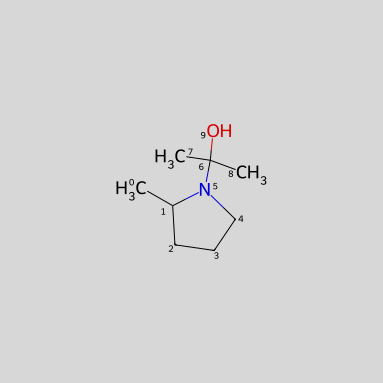 CC1CCCN1C(C)(C)O